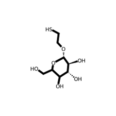 OCC1O[C@H](OCCS)[C@@H](O)[C@H](O)C1O